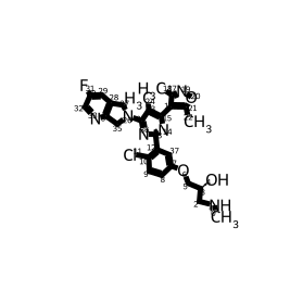 CNC[C@@H](O)COc1ccc(Cl)c(-c2nc(-c3c(C)noc3C)c(C)c(N3Cc4cc(F)cnc4C3)n2)c1